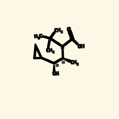 C[C@@H]([C@H](O)C1CC1)N(C(=O)O)C(C)(C)C